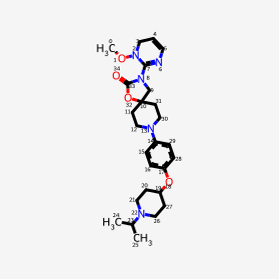 CON1CC=CN=C1N1CC2(CCN(c3ccc(OC4CCN(C(C)C)CC4)cc3)CC2)OC1=O